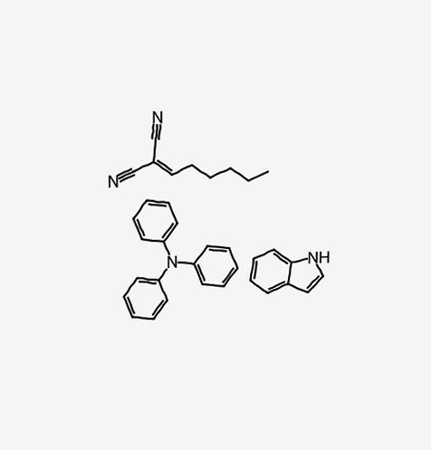 CCCCCC=C(C#N)C#N.c1ccc(N(c2ccccc2)c2ccccc2)cc1.c1ccc2[nH]ccc2c1